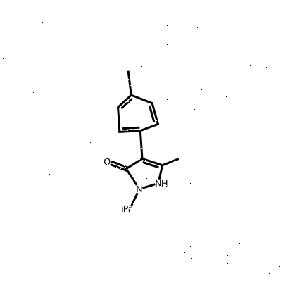 Cc1ccc(-c2c(C)[nH]n(C(C)C)c2=O)cc1